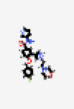 O=C(Nc1cccnc1)c1ccc(OCc2ccc(F)cc2)c(-c2cnn(CCN3CCOCC3)c2)c1